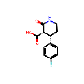 O=C(O)[C@H]1C(=O)NCC[C@@H]1c1ccc(F)cc1